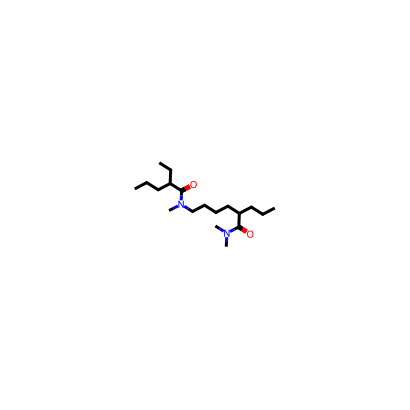 CCCC(CCCCN(C)C(=O)C(CC)CCC)C(=O)N(C)C